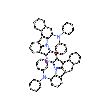 c1ccc(N(c2ccccc2)c2cc3ccccc3c3c4cccc5c6nc7c(cc6n(c23)c54)c2c3ccccc3cc3c4cccc(N(c5ccccc5)c5ccccc5)c4n7c32)cc1